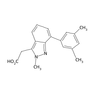 Cc1cc(C)cc(-c2cccc3c(CC(=O)O)n(C)nc23)c1